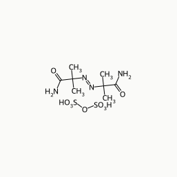 CC(C)(N=NC(C)(C)C(N)=O)C(N)=O.O=S(=O)(O)OS(=O)(=O)O